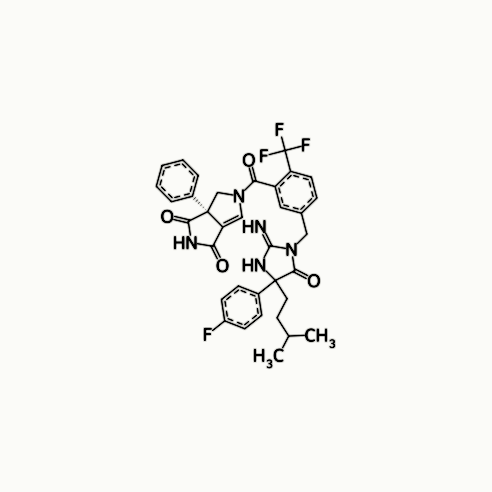 CC(C)CCC1(c2ccc(F)cc2)NC(=N)N(Cc2ccc(C(F)(F)F)c(C(=O)N3C=C4C(=O)NC(=O)[C@@]4(c4ccccc4)C3)c2)C1=O